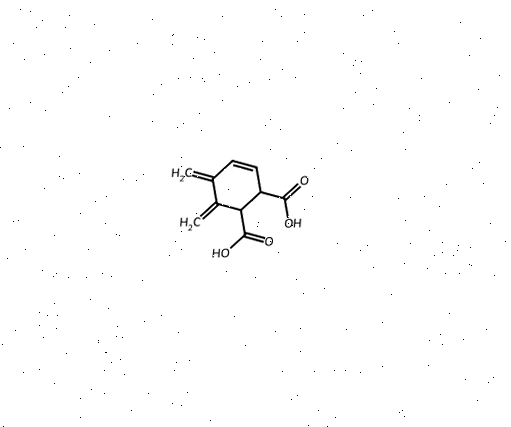 C=C1C=CC(C(=O)O)C(C(=O)O)C1=C